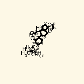 CC(C)(C)[Si](C)(C)OC1CC[C@](C)(C2CC[C@@]3(C)C(CCC34OCCO4)[C@@H]2CC=O)C(=O)C1